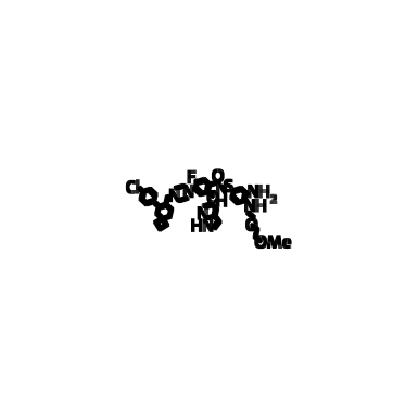 COCCOCCNc1ccc(SNC(=O)c2cc(F)c(N3CCN(CC4=C(c5ccc(Cl)cc5)CC5(CCC5)CC4)CC3)cc2Oc2cnc3[nH]ccc3c2)cc1N